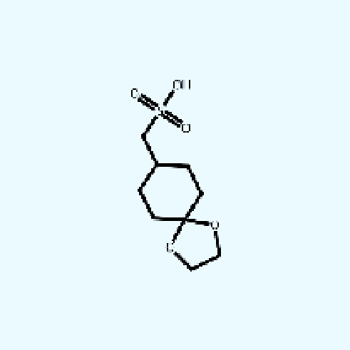 O=S(=O)(O)CC1CCC2(CC1)OCCO2